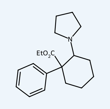 CCOC(=O)C1(c2ccccc2)CCCCC1N1CCCC1